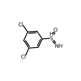 N=[SH](=O)c1cc(Cl)cc(Cl)c1